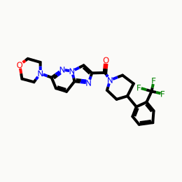 O=C(c1cn2nc(N3CCOCC3)ccc2n1)N1CCC(c2ccccc2C(F)(F)F)CC1